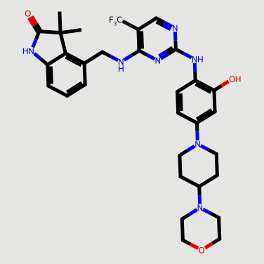 CC1(C)C(=O)Nc2cccc(CNc3nc(Nc4ccc(N5CCC(N6CCOCC6)CC5)cc4O)ncc3C(F)(F)F)c21